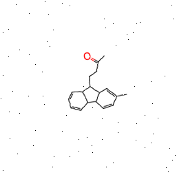 CC(=O)CCC1C2C=CC=CC2C2C=CC(C)=CC21